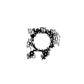 CCO[C@@H]1CNCC2(CCC2)NC(C)[C@H]([C@@H](C)CC)N2C(C)[C@@H](C)C2CNC(C)[C@H](CC(C)C)NC[C@H]([C@@H](C)CC)NC(C)[C@H](C)N2CCCC2=CN(CC)C(Cc2ccc(C(F)(F)F)cc2)=CN(C)C=CN=C(CCc2ccc(C(F)(F)F)c(Cl)c2)C=CN1